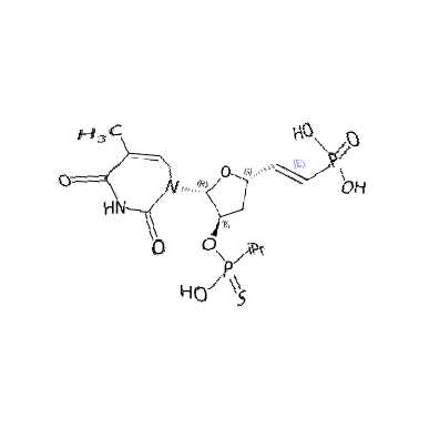 Cc1cn([C@@H]2O[C@H](/C=C/P(=O)(O)O)C[C@H]2OP(O)(=S)C(C)C)c(=O)[nH]c1=O